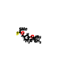 C[SH2]C(=S)OCC1CCC(O[Si](C)(C)C(C)(C)C)C1